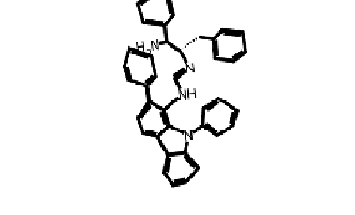 NC(c1ccccc1)[C@H](Cc1ccccc1)/N=C/Nc1c(-c2ccccc2)ccc2c3ccccc3n(-c3ccccc3)c12